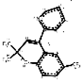 FC(F)(F)c1ccc2c(c1)C(c1ccccn1)=CC(C(F)(F)F)(C(F)(F)F)O2